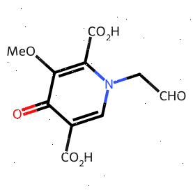 COc1c(C(=O)O)n(CC=O)cc(C(=O)O)c1=O